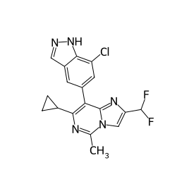 Cc1nc(C2CC2)c(-c2cc(Cl)c3[nH]ncc3c2)c2nc(C(F)F)cn12